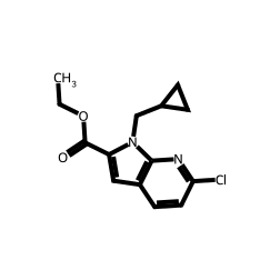 CCOC(=O)c1cc2ccc(Cl)nc2n1CC1CC1